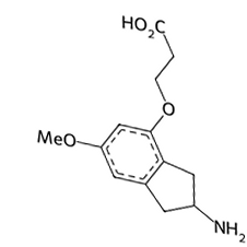 COc1cc2c(c(OCCC(=O)O)c1)CC(N)C2